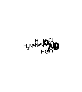 NCCNCCNc1ccc(Cl)c(C(=O)N(CC(=O)O)CC23CC4CC(CC(C4)C2)C3)c1